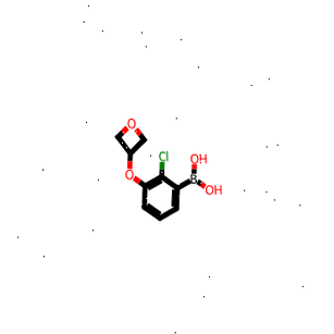 OB(O)c1cccc(OC2COC2)c1Cl